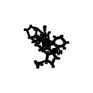 Cc1cc(C(=O)O)cnc1N1C2CCC1CC(OCc1c(-c3ccccc3OC(F)F)noc1C1CC1)C2